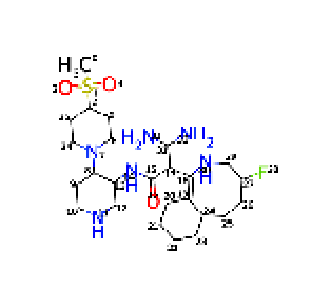 CS(=O)(=O)C1CCN(C2CCNCC2NC(=O)C(/C2=C3\CCCCC3CCC(F)CN2)C(N)N)CC1